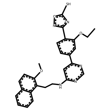 CCOc1cc(-c2cc(NCCc3c(OC)ccc4ccccc34)ncn2)ccc1-c1noc(S)n1